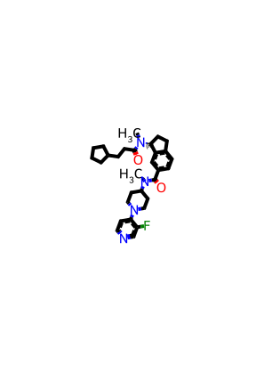 CN(C(=O)c1ccc2c(c1)[C@H](N(C)C(=O)CCC1CCCC1)CC2)C1CCN(c2ccncc2F)CC1